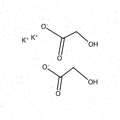 O=C([O-])CO.O=C([O-])CO.[K+].[K+]